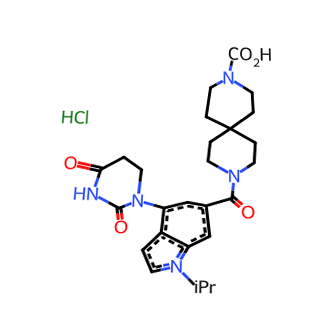 CC(C)n1ccc2c(N3CCC(=O)NC3=O)cc(C(=O)N3CCC4(CCN(C(=O)O)CC4)CC3)cc21.Cl